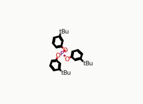 CC(C)(C)c1cccc(OP(Oc2cccc(C(C)(C)C)c2)Oc2cccc(C(C)(C)C)c2)c1